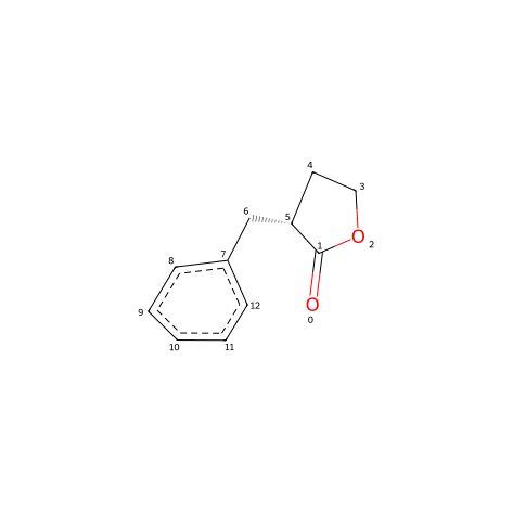 O=C1OCC[C@H]1Cc1ccccc1